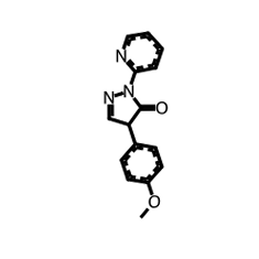 COc1ccc(C2C=NN(c3ccccn3)C2=O)cc1